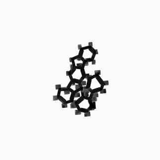 c1ccc2c(c1)Cc1cc3c(cc1-2)C1(c2ccccc2-3)c2ccccc2-c2ncccc21